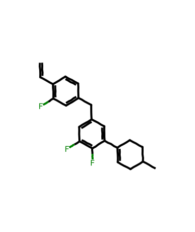 C=Cc1ccc(Cc2cc(F)c(F)c(C3=CCC(C)CC3)c2)cc1F